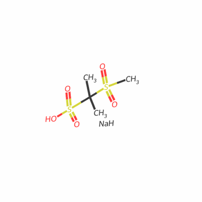 CC(C)(S(C)(=O)=O)S(=O)(=O)O.[NaH]